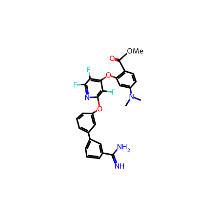 COC(=O)c1ccc(N(C)C)cc1Oc1c(F)c(F)nc(Oc2cccc(-c3cccc(C(=N)N)c3)c2)c1F